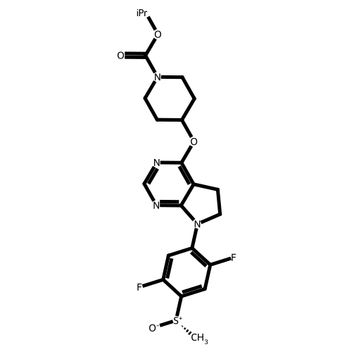 CC(C)OC(=O)N1CCC(Oc2ncnc3c2CCN3c2cc(F)c([S@+](C)[O-])cc2F)CC1